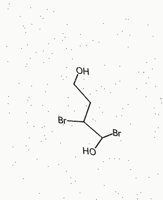 OCCC(Br)C(O)Br